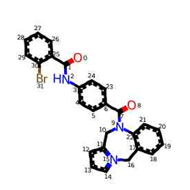 O=C(Nc1ccc(C(=O)N2Cc3cccn3Cc3ccccc32)cc1)c1ccccc1Br